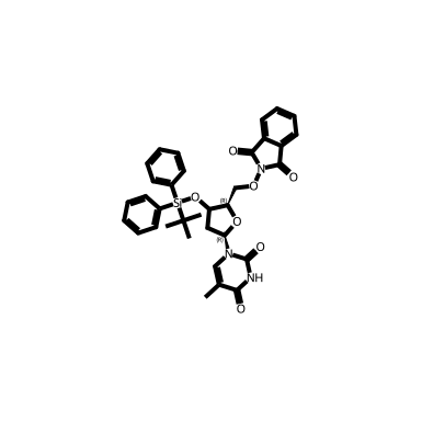 Cc1cn([C@H]2CC(O[Si](c3ccccc3)(c3ccccc3)C(C)(C)C)[C@@H](CON3C(=O)c4ccccc4C3=O)O2)c(=O)[nH]c1=O